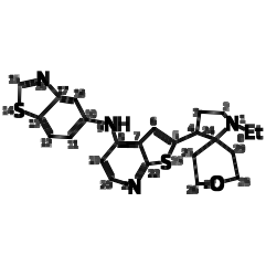 CCN1CCC(c2cc3c(Nc4ccc5scnc5c4)ccnc3s2)C12CCOCC2